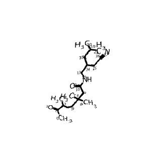 CC(=O)C(C)CC(C)(C)CC(=O)NCC(CC#N)CC(C)C